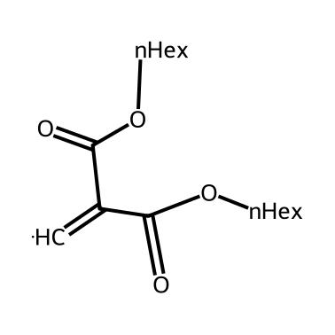 [CH]=C(C(=O)OCCCCCC)C(=O)OCCCCCC